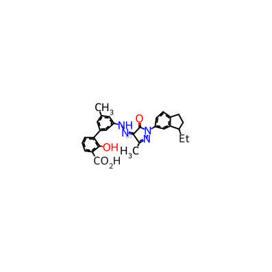 CCC1CCc2ccc(N3N=C(C)/C(=N/Nc4cc(C)cc(-c5cccc(C(=O)O)c5O)c4)C3=O)cc21